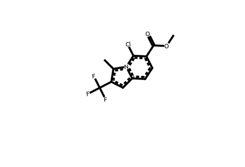 COC(=O)c1ccc2cc(C(F)(F)F)c(C)n2c1Cl